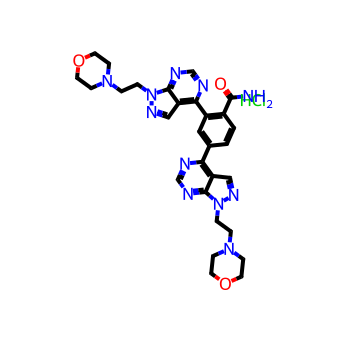 Cl.NC(=O)c1ccc(-c2ncnc3c2cnn3CCN2CCOCC2)cc1-c1ncnc2c1cnn2CCN1CCOCC1